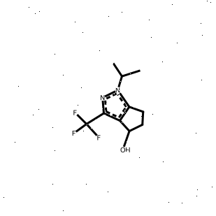 CC(C)n1nc(C(F)(F)F)c2c1CCC2O